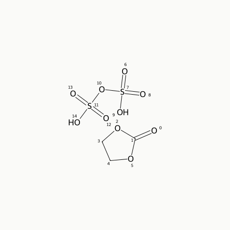 O=C1OCCO1.O=S(=O)(O)OS(=O)(=O)O